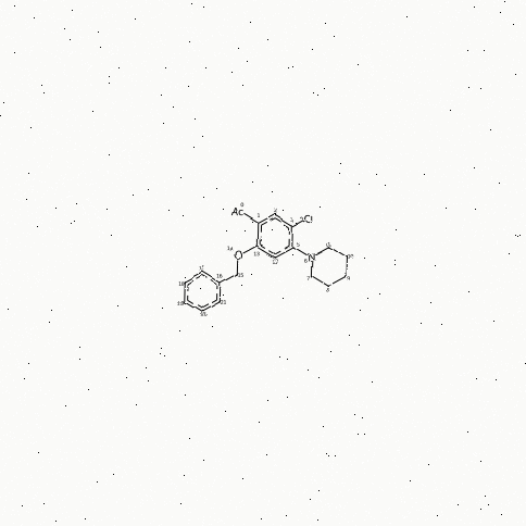 CC(=O)c1cc(Cl)c(N2CCCCC2)cc1OCc1ccccc1